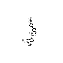 CCc1c(CN2CCOc3ccc(-c4ccc(OC(F)(F)F)cc4)cc3C2=O)cccc1C(=O)O